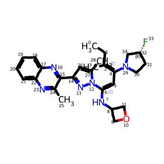 CC/C(C)=C(/C=C(/NC1COC1)n1nc(-c2nc3ccccc3nc2C)cc1C)N1CC[C@@H](F)C1